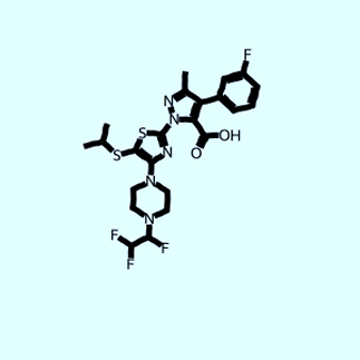 Cc1nn(-c2nc(N3CCN(C(F)C(F)F)CC3)c(SC(C)C)s2)c(C(=O)O)c1-c1cccc(F)c1